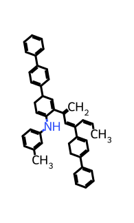 C=C(/C=C(\C=C/C)C1=CC=C(c2ccccc2)CC1)C1=CC(c2ccc(-c3ccccc3)cc2)CC=C1Nc1cccc(C)c1